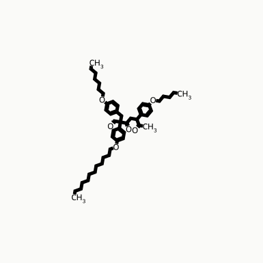 CCCCCCCCCCCCOc1ccc(C([C]=O)(Cc2ccc(OCCCCCCC)cc2)C(=O)CC(C(C)=O)c2ccc(OCCCCC)cc2)cc1